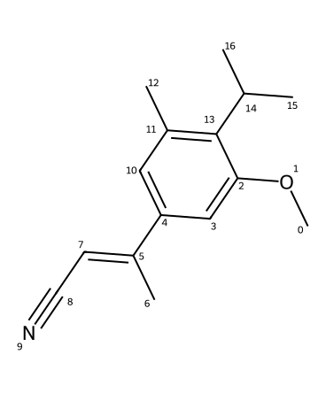 COc1cc(/C(C)=C/C#N)cc(C)c1C(C)C